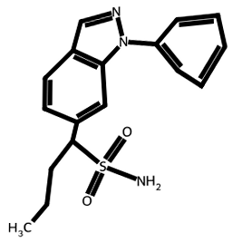 CCCC(c1ccc2cnn(-c3ccccc3)c2c1)S(N)(=O)=O